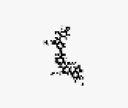 COc1cc(-c2cn(C)c(=O)c3c2CCC3)cc(OC)c1CN1CCC2(CC1)CN(c1ccc3c(C4CCC(=O)NC4=O)nn(C)c3c1)C2